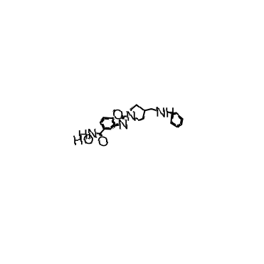 O=C(NO)c1ccc2oc(N3CCC(CNCc4ccccc4)CC3)nc2c1